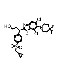 O=S(=O)(CC1CC1)c1ccc([C@@H](CCO)c2nc3cc(Cl)c(N4CCC(F)(F)CC4)c(Cl)c3[nH]2)cc1